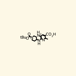 Cc1nc(NC2CCN(C(=O)OC(C)(C)C)CC2)c(N)cc1C(=O)O